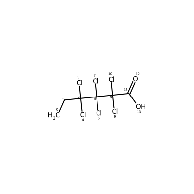 CCC(Cl)(Cl)C(Cl)(Cl)C(Cl)(Cl)C(=O)O